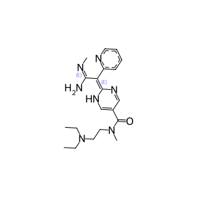 CCN(CC)CCN(C)C(=O)C1=CN/C(=C(\C(N)=N/C)c2ccccn2)N=C1